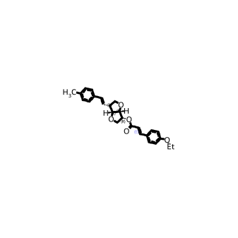 CCOc1ccc(/C=C/C(=O)O[C@@H]2CO[C@H]3[C@@H]2OC[C@H]3C=Cc2ccc(C)cc2)cc1